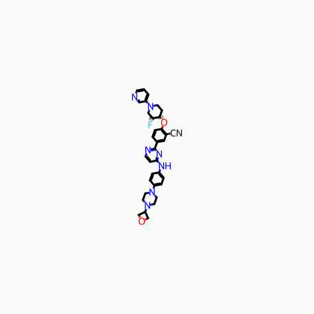 N#Cc1cc(-c2nccc(Nc3ccc(N4CCN(C5COC5)CC4)cc3)n2)ccc1O[C@H]1CCN(c2cccnc2)C[C@H]1F